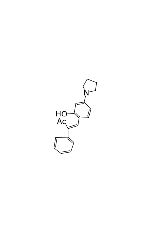 CC(=O)C(=Cc1ccc(N2CCCC2)cc1O)c1ccccc1